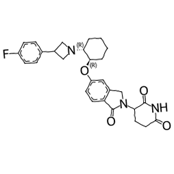 O=C1CCC(N2Cc3cc(O[C@@H]4CCCC[C@H]4N4CC(c5ccc(F)cc5)C4)ccc3C2=O)C(=O)N1